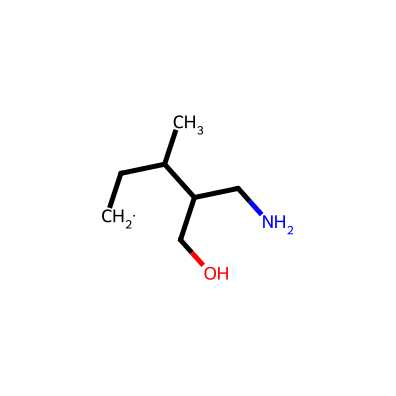 [CH2]CC(C)C(CN)CO